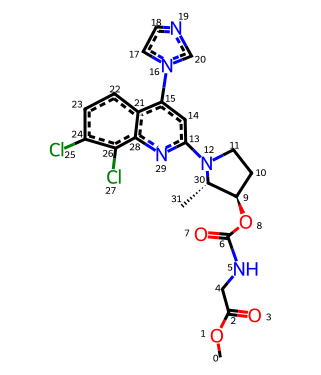 COC(=O)CNC(=O)O[C@@H]1CCN(c2cc(-n3ccnc3)c3ccc(Cl)c(Cl)c3n2)[C@H]1C